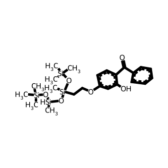 C[SiH](O[Si](C)(C)C)O[Si](C)(CCOc1ccc(C(=O)c2ccccc2)c(O)c1)O[Si](C)(C)C